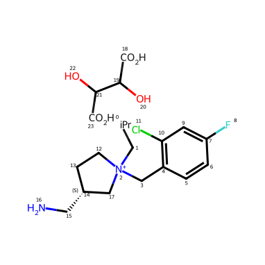 CC(C)C[N+]1(Cc2ccc(F)cc2Cl)CC[C@@H](CN)C1.O=C(O)C(O)C(O)C(=O)O